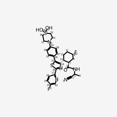 CC(C#N)NC(=O)[C@@H]1C[C@@H](F)CC[C@H]1c1nc(-c2ccc(F)cn2)sc1-c1ccc(N2CCS(O)(O)CC2)cc1